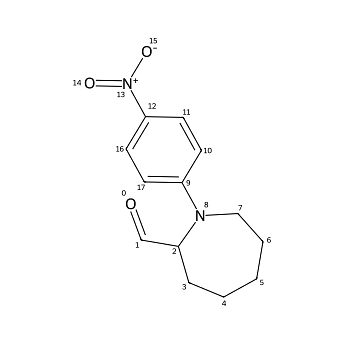 O=CC1CCCCCN1c1ccc([N+](=O)[O-])cc1